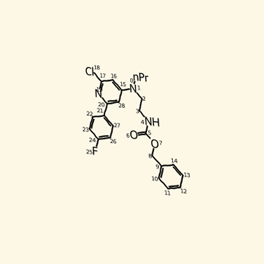 CCCN(CCNC(=O)OCc1ccccc1)c1cc(Cl)nc(-c2ccc(F)cc2)c1